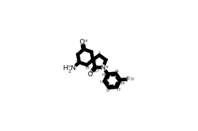 NC1CC(=O)CC2(CCN(c3cccc(F)c3)C2=O)C1